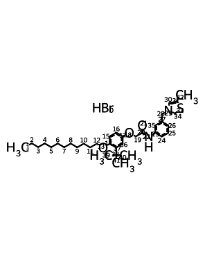 Br.CCCCCCCCCCCCOc1ccc(OCC(=O)Nc2cccc(CN3C=C(C)SC3)c2)cc1C(C)(C)C